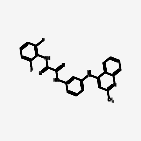 O=C(Nc1cccc(Nc2cc(C(F)(F)F)nc3ccccc23)c1)C(=O)Nc1c(F)cccc1F